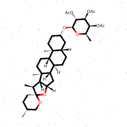 CC(=O)O[C@H]1[C@@H](OC(C)=O)[C@@H](C)O[C@@H](O[C@H]2CC[C@@]3(C)[C@@H](CC[C@@H]4[C@@H]3CC[C@]3(C)[C@@H]5[C@H](C[C@@H]43)O[C@]3(CC[C@@H](C)CO3)[C@H]5C)C2)[C@@H]1OC(C)=O